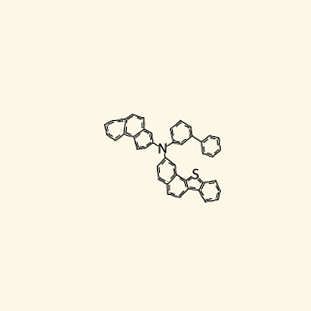 c1ccc(-c2cccc(N(c3ccc4c(ccc5ccccc54)c3)c3ccc4ccc5c6ccccc6sc5c4c3)c2)cc1